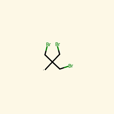 [CH2]C(CBr)(CBr)CBr